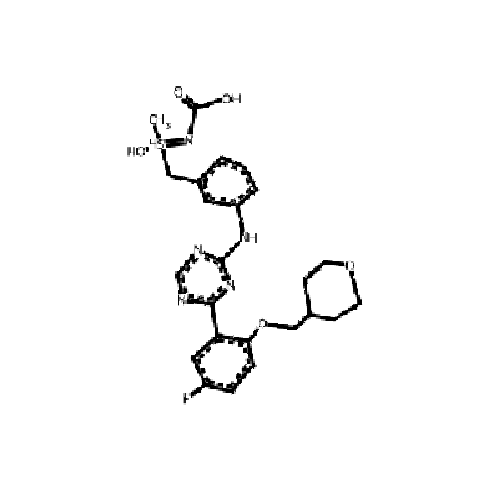 C[SH](O)(Cc1cccc(Nc2ncnc(-c3cc(F)ccc3OCC3CCOCC3)n2)c1)=NC(=O)O